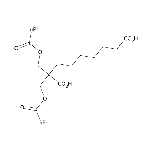 CCCC(=O)OCC(CCCCCCC(=O)O)(COC(=O)CCC)C(=O)O